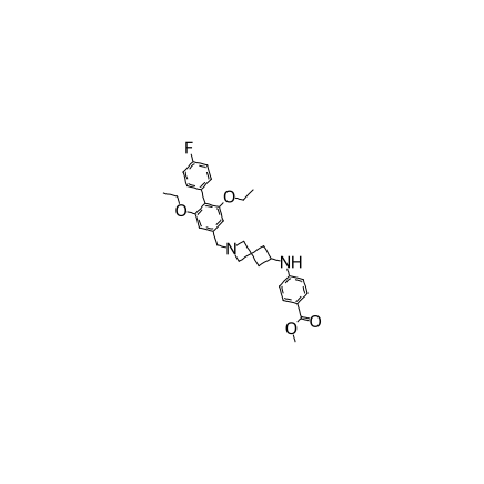 CCOc1cc(CN2CC3(CC(Nc4ccc(C(=O)OC)cc4)C3)C2)cc(OCC)c1-c1ccc(F)cc1